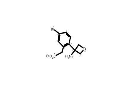 CCOC(=O)Cc1cc(Br)ccc1C1(N)COC1